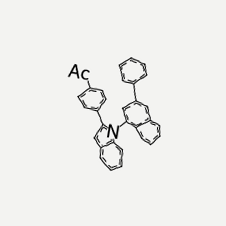 CC(=O)c1ccc(-c2cc3ccccc3n2-c2cc(-c3ccccc3)cc3ccccc23)cc1